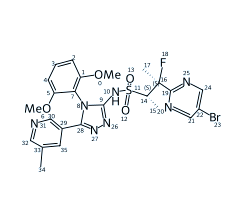 COc1cccc(OC)c1-n1c(NS(=O)(=O)[C@@H](C)[C@@](C)(F)c2ncc(Br)cn2)nnc1-c1cncc(C)c1